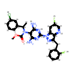 COC(=O)N(c1c(N)nc(-n2nc(Cc3ccccc3F)c3ncc(F)cc32)nc1N)C(C)c1cccc(Cl)c1